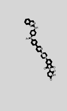 CC(=O)N(c1ccc(-c2ccc(N3CCN(c4ccc5c(c4)C(=O)N(C4CCC(=O)NC4=O)C5=O)CC3)nc2)cc1)C1CCC(Nc2ncc3ccccc3n2)CC1